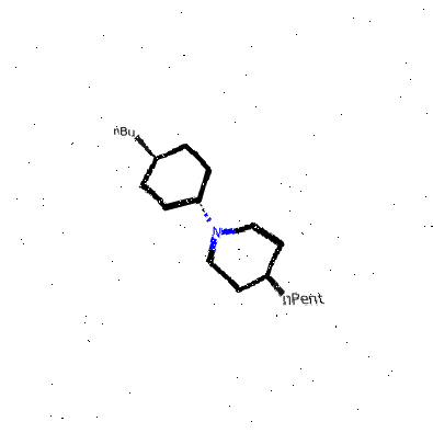 CCCCCC1CCN([C@H]2CC[C@H](CCCC)CC2)CC1